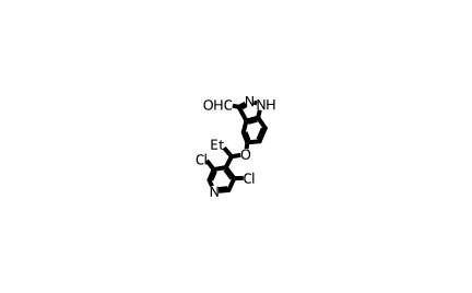 CCC(Oc1ccc2[nH]nc(C=O)c2c1)c1c(Cl)cncc1Cl